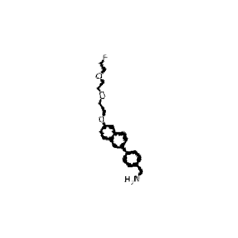 NCc1ccc(-c2ccc3cc(OCCOCCOCCF)ccc3c2)cc1